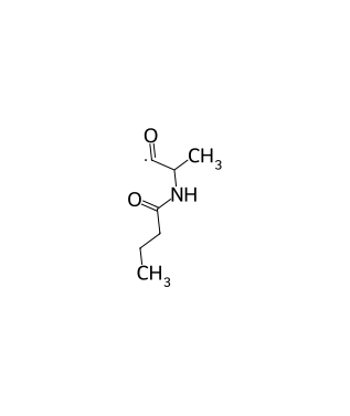 CCCC(=O)NC(C)[C]=O